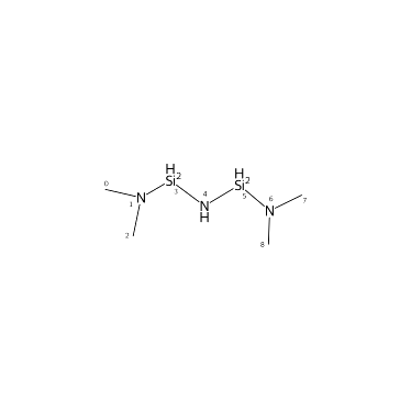 CN(C)[SiH2]N[SiH2]N(C)C